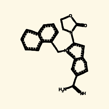 N=C(N)c1ccc2cc(N3CCOC3=O)n(Cc3cccc4ccccc34)c2c1